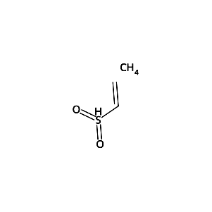 C.C=C[SH](=O)=O